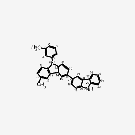 Cc1cccc(N2c3ccc(C)cc3C3C=C(c4ccc5[nH]c6ccccc6c5c4)C=CC32)c1